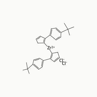 CC(C)(C)c1ccc(C2=[C]([Zr+2][C]3=C(c4ccc(C(C)(C)C)cc4)C=CC3)CC=C2)cc1.[Cl-].[Cl-]